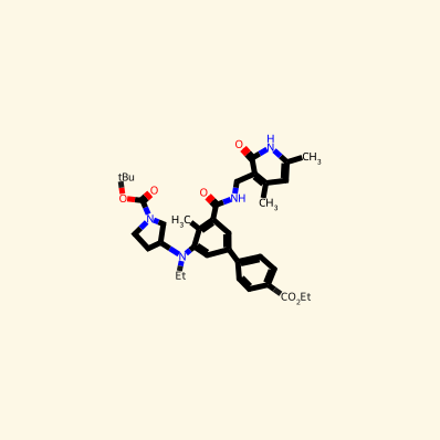 CCOC(=O)c1ccc(-c2cc(C(=O)NCc3c(C)cc(C)[nH]c3=O)c(C)c(N(CC)C3CCN(C(=O)OC(C)(C)C)C3)c2)cc1